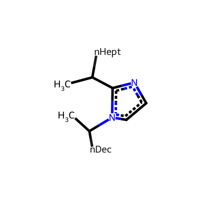 CCCCCCCCCCC(C)n1ccnc1C(C)CCCCCCC